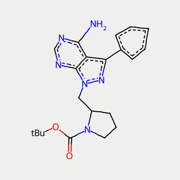 CC(C)(C)OC(=O)N1CCCC1Cn1nc(-c2ccccc2)c2c(N)ncnc21